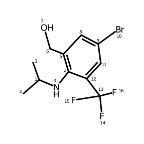 CC(C)Nc1c(CO)cc(Br)cc1C(F)(F)F